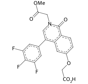 COC(=O)Cn1cc(-c2cc(F)c(F)c(F)c2)c2cc(OCC(=O)O)ccc2c1=O